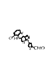 O=Cc1cc(-n2ncc3cc(Nc4c(F)cccc4Cl)cnc32)cs1